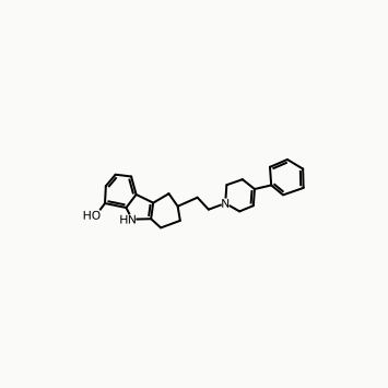 Oc1cccc2c3c([nH]c12)CCC(CCN1CC=C(c2ccccc2)CC1)C3